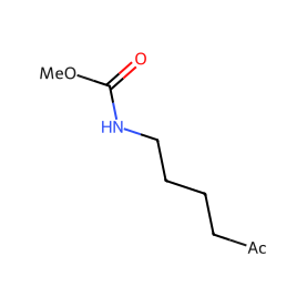 COC(=O)NCCCCC(C)=O